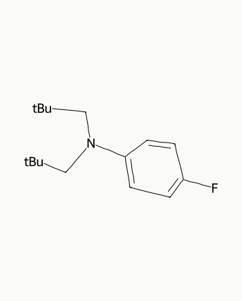 CC(C)(C)CN(CC(C)(C)C)c1ccc(F)cc1